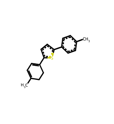 CC1=CC=C(c2ccc(-c3ccc(C)cc3)s2)CC1